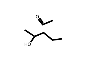 CC=O.CCCC(C)O